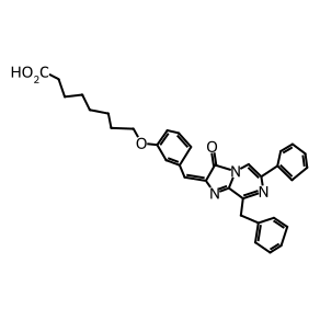 O=C(O)CCCCCCCOc1cccc(C=C2N=C3C(Cc4ccccc4)=NC(c4ccccc4)=CN3C2=O)c1